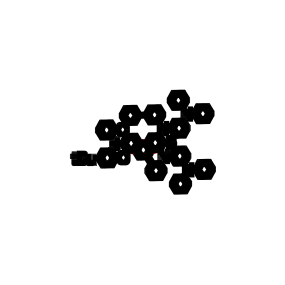 CC(C)(C)c1ccc2c(c1)B1c3ccccc3Oc3cc(-c4cc5c6c(c4)N(c4ccccc4-c4ccccc4)c4cc(N(c7ccccc7)c7ccccc7)ccc4B6c4ccc(N(c6ccccc6)c6ccccc6)cc4N5c4cccc(-c5ccccc5)c4)cc(c31)O2